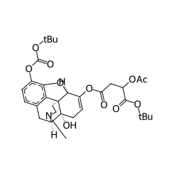 CC(=O)OC(CC(=O)OC1=CC[C@@]2(O)[C@H]3Cc4ccc(OC(=O)OC(C)(C)C)c5c4[C@@]2(CCN3C)[C@H]1O5)C(=O)OC(C)(C)C